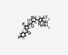 Nc1ncnn2c(-c3cncc(C(=O)N[C@@H]4CN(C(=O)c5ccc(F)cc5)C[C@@H]4F)c3)cc(C(F)(F)F)c12